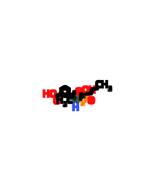 CCCCC(O)([PH2]=O)[C@@H]1CN[C@](C)(c2cccc(C(=O)O)c2)CO1